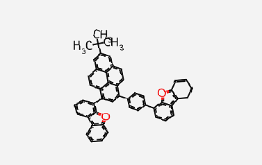 CC(C)(C)c1cc2ccc3c(-c4ccc(-c5cccc6c7c(oc56)C=CCC7)cc4)cc(-c4cccc5c4oc4ccccc45)c4ccc(c1)c2c34